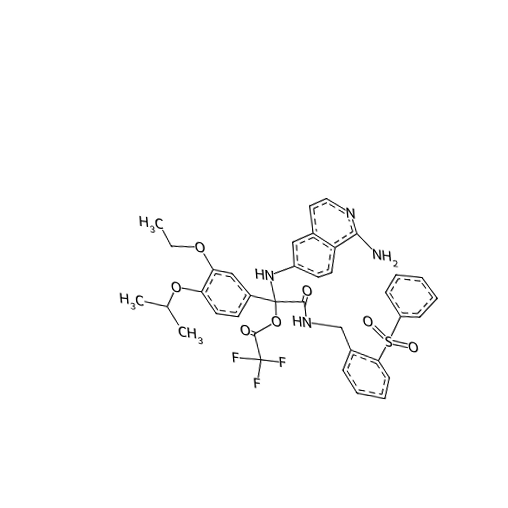 CCOc1cc(C(Nc2ccc3c(N)nccc3c2)(OC(=O)C(F)(F)F)C(=O)NCc2ccccc2S(=O)(=O)c2ccccc2)ccc1OC(C)C